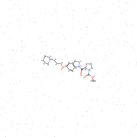 CC(C)(C)OC(=O)N1CCC[C@@H]1C(=O)N1CCc2cc(OCCCN3CCCCC3)ccc21